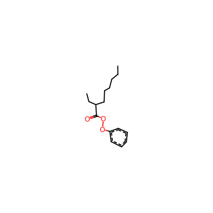 CCCCCCC(CC)C(=O)OOc1ccccc1